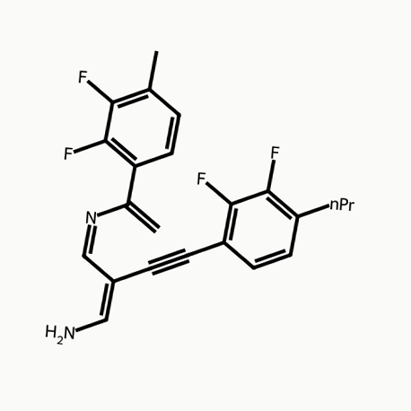 C=C(/N=C\C(C#Cc1ccc(CCC)c(F)c1F)=C/N)c1ccc(C)c(F)c1F